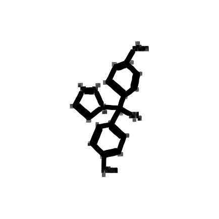 CCCCCCCCCc1ccc(C(N)(c2ccc(CCCCCCCCC)cc2)n2ccnn2)cc1